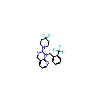 FC1(F)CCN(C2N=Cc3cccnc3N2Cc2ccccc2C(F)(F)F)CC1